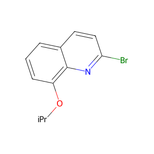 CC(C)Oc1cccc2ccc(Br)nc12